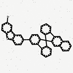 Brc1ccc2sc3ccc(-c4ccc5c(c4)-c4ccccc4C54c5ccccc5-c5cc6ccccc6cc54)cc3c2c1